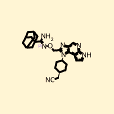 N#CC[C@H]1CC[C@H](n2c(CO/N=C(\N)C34CC5CC(CC(C5)C3)C4)nc3cnc4[nH]ccc4c32)CC1